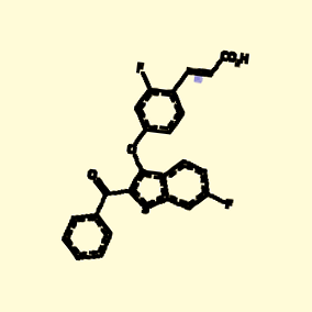 O=C(O)/C=C/c1ccc(Oc2c(C(=O)c3ccccc3)sc3cc(F)ccc23)cc1F